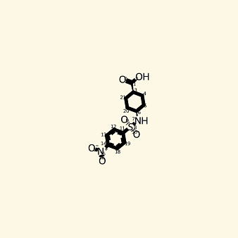 O=C(O)[C@H]1CC[C@H](NS(=O)(=O)c2ccc([N+](=O)[O-])cc2)CC1